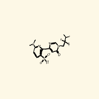 CCS(=O)(=O)c1ccc(N(C)C)nc1-c1cc(=O)n(CC(F)(F)C(C)F)cn1